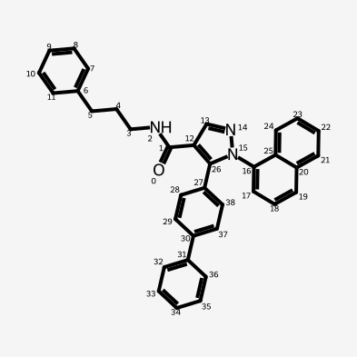 O=C(NCCCc1ccccc1)c1cnn(-c2cccc3ccccc23)c1-c1ccc(-c2ccccc2)cc1